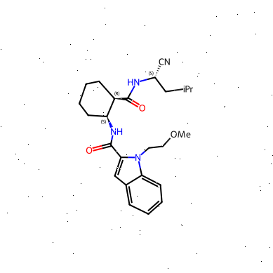 COCCn1c(C(=O)N[C@H]2CCCC[C@H]2C(=O)N[C@H](C#N)CC(C)C)cc2ccccc21